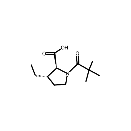 CC[C@H]1CCN(C(=O)C(C)(C)C)[C@@H]1C(=O)O